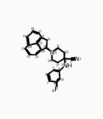 N#CC1(Nc2cccc(F)c2)CCN(C2Cc3cccc4cccc2c34)CC1